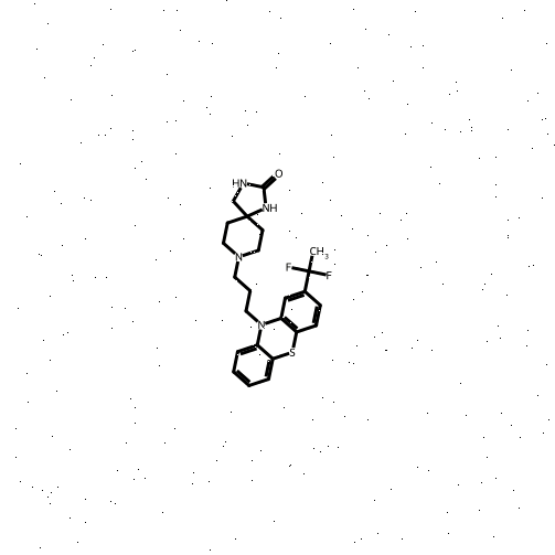 CC(F)(F)c1ccc2c(c1)N(CCCN1CCC3(CC1)CNC(=O)N3)c1ccccc1S2